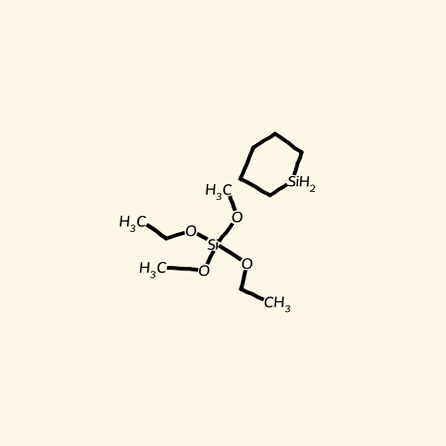 C1CC[SiH2]CC1.CCO[Si](OC)(OC)OCC